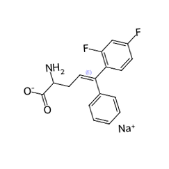 NC(C/C=C(\c1ccccc1)c1ccc(F)cc1F)C(=O)[O-].[Na+]